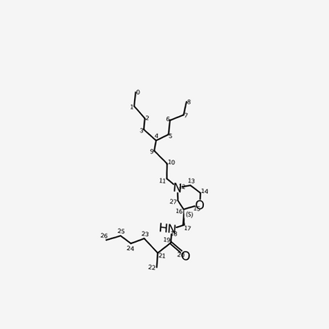 CCCCC(CCCC)CCCN1CCO[C@@H](CNC(=O)C(C)CCCC)C1